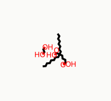 CCCCCCCCC(CCCCCCCC)(CCCC(=O)O)C(=O)O.OCCO